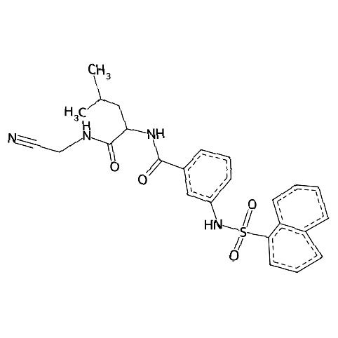 CC(C)CC(NC(=O)c1cccc(NS(=O)(=O)c2cccc3ccccc23)c1)C(=O)NCC#N